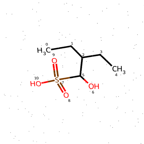 CCC(CC)C(O)S(=O)(=O)O